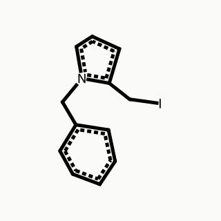 ICc1cccn1Cc1ccccc1